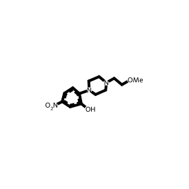 COCCN1CCN(c2ccc([N+](=O)[O-])cc2O)CC1